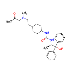 CC(C)COC(=O)CN(C)CCC1CCC(NC(=O)N[C@H](C)C(O)(c2ccccc2)c2ccccc2)CC1